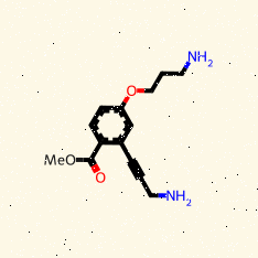 COC(=O)c1ccc(OCCCN)cc1C#CCN